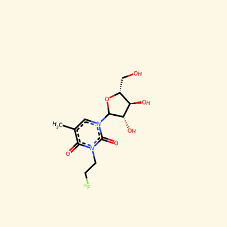 Cc1cn(C2O[C@H](CO)[C@@H](O)[C@@H]2O)c(=O)n(CC[18F])c1=O